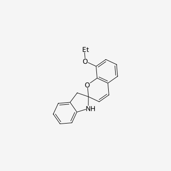 CCOc1cccc2c1OC1(C=C2)Cc2ccccc2N1